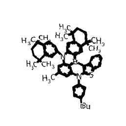 Cc1cc2c3c(c1)N(c1ccc(C(C)(C)C)cc1)c1sc4ccccc4c1B3c1cc3c(cc1N2c1ccc2c(c1)C(C)(C)CCC2(C)C)C(C)(C)CCC3(C)C